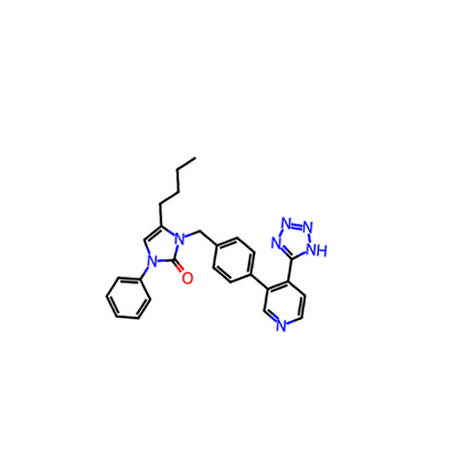 CCCCc1cn(-c2ccccc2)c(=O)n1Cc1ccc(-c2cnccc2-c2nnn[nH]2)cc1